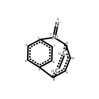 [N-]=[N+]1c2ccc(cc2)-c2ccc1cc2